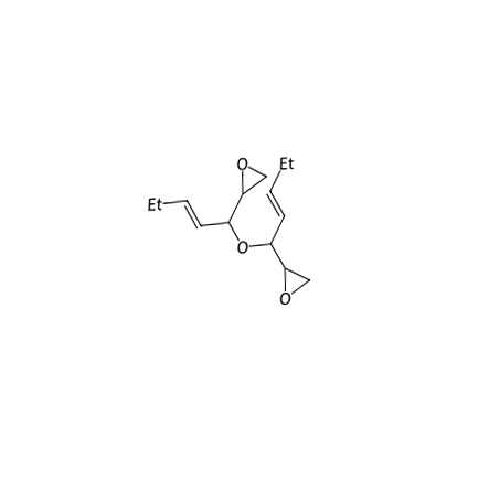 CCC=CC(OC(C=CCC)C1CO1)C1CO1